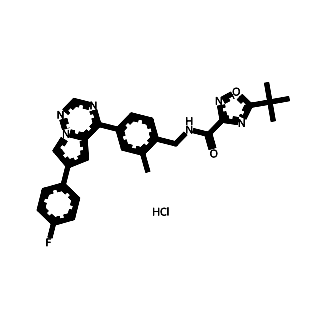 Cc1cc(-c2ncnn3cc(-c4ccc(F)cc4)cc23)ccc1CNC(=O)c1noc(C(C)(C)C)n1.Cl